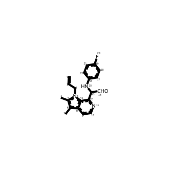 C=CCn1c(C)c(C)c2ccnc(C(C=O)Nc3ccc(F)cc3)c21